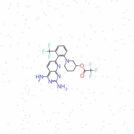 CNc1nc(N)nc2nc(-c3c(N4CCCC(OC(=O)C(F)(F)F)C4)cccc3C(F)(F)F)ccc12